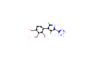 OCc1ccc(-c2c(Cl)[nH]c(-c3nnn[nH]3)c2Cl)c(CO)c1CO